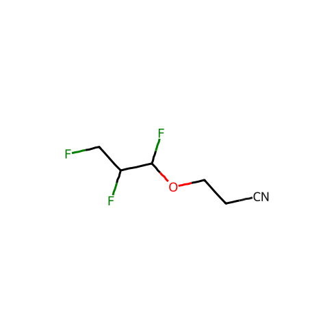 N#CCCOC(F)C(F)CF